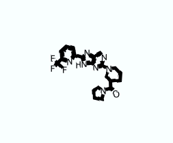 O=C(C1CCCN(c2ncc3nc(-c4cccc(C(F)(F)F)n4)[nH]c3n2)C1)N1CCCC1